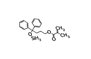 C=C(C)C(=O)OCCCC(O[SiH3])(c1ccccc1)c1ccccc1